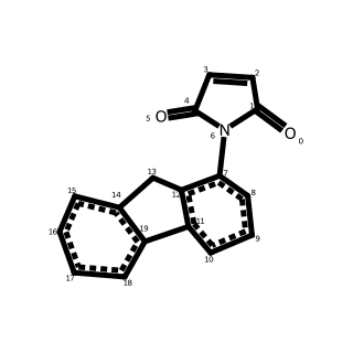 O=C1C=CC(=O)N1c1cccc2c1Cc1ccccc1-2